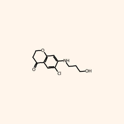 O=C1CCOc2cc(NCCCO)c(Cl)cc21